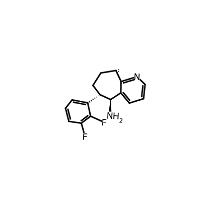 N[C@@H]1c2cccnc2[C]CC[C@H]1c1cccc(F)c1F